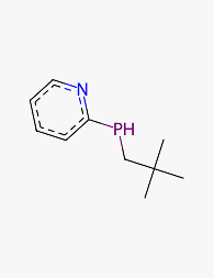 CC(C)(C)CPc1ccccn1